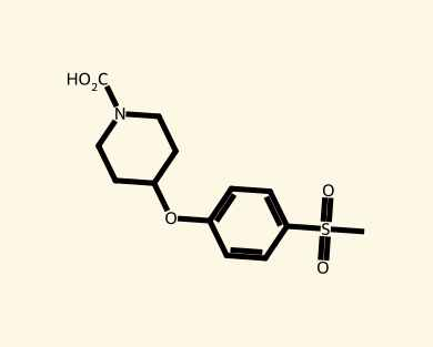 CS(=O)(=O)c1ccc(OC2CCN(C(=O)O)CC2)cc1